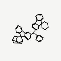 c1ccc(N(c2ccc3c(c2)-c2ccccc2C32C3CC4CC(C3)CC2C4)c2ccc3c(c2)C2(CCCCC2)c2ccccc2-3)cc1